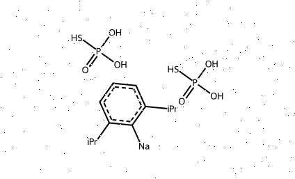 CC(C)c1cccc(C(C)C)[c]1[Na].O=P(O)(O)S.O=P(O)(O)S